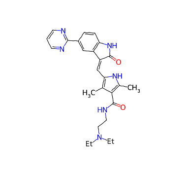 CCN(CC)CCNC(=O)c1c(C)[nH]c(/C=C2\C(=O)Nc3ccc(-c4ncccn4)cc32)c1C